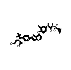 COCCN(C(=O)O)C(c1ccc(-c2cc3nccc(Oc4ccc(NC(=O)NS(=O)(=O)C5CC5)cc4F)c3s2)nc1)C(C)(C)C